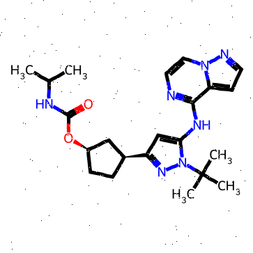 CC(C)NC(=O)O[C@@H]1CC[C@H](c2cc(Nc3nccn4nccc34)n(C(C)(C)C)n2)C1